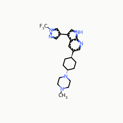 CN1CCN([C@H]2CC[C@H](c3cnc4[nH]cc(-c5cnn(C(F)(F)F)c5)c4c3)CC2)CC1